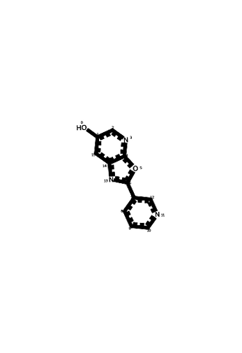 Oc1cnc2oc(-c3cccnc3)nc2c1